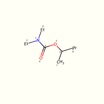 CCN(CC)C(=O)OC(C)C(C)C